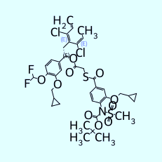 C=C/C(Cl)=C(C[C@H](OC(=O)CSC(=O)c1ccc(N(C(=O)OC(C)(C)C)S(C)(=O)=O)c(OCC2CC2)c1)c1ccc(OC(F)F)c(OCC2CC2)c1)\C(Cl)=C/C